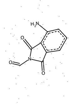 Nc1cccc2c1C(=O)N(C=O)C2=O